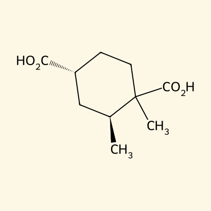 C[C@H]1C[C@H](C(=O)O)CCC1(C)C(=O)O